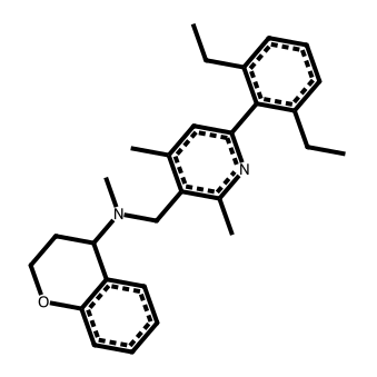 CCc1cccc(CC)c1-c1cc(C)c(CN(C)C2CCOc3ccccc32)c(C)n1